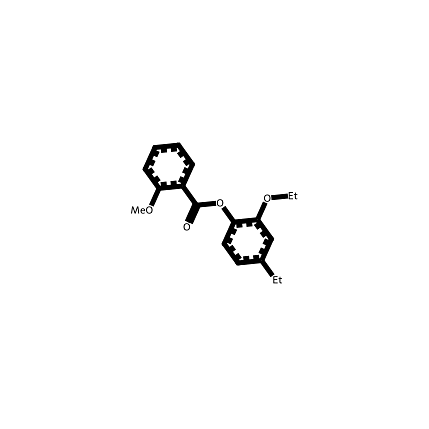 CCOc1cc(CC)ccc1OC(=O)c1ccccc1OC